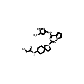 Cc1cc(Nc2nc(N3CCC4(CCC(NC(=O)CC#N)CC4)C3)nn3cccc23)n[nH]1